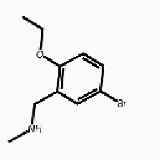 CCOc1ccc(Br)cc1CNC